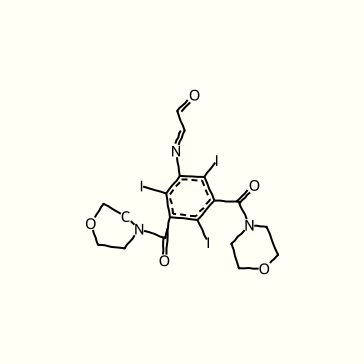 O=CC=Nc1c(I)c(C(=O)N2CCOCC2)c(I)c(C(=O)N2CCOCC2)c1I